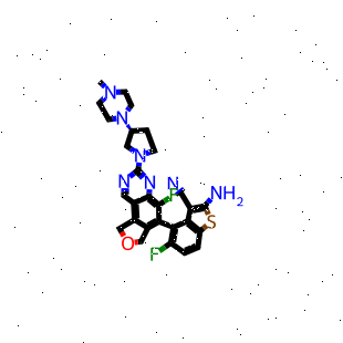 CN1CCN([C@H]2CCN(c3ncc4c5c(c(-c6c(F)ccc7sc(N)c(C#N)c67)c(F)c4n3)COC5)C2)CC1